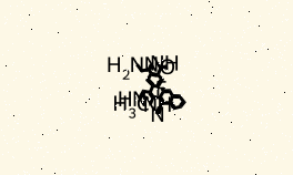 CN/C(=C(\C=N)c1ccc2c(=O)[nH]nc(CN)c2c1)c1c(F)cc2ccccc2c1C#N